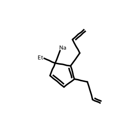 C=CCC1=C(CC=C)[C]([Na])(CC)C=C1